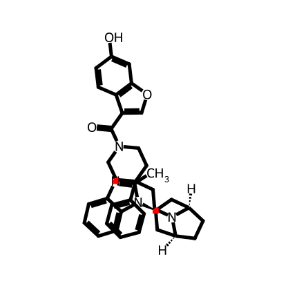 Cc1nc2ccccc2n1[C@H]1C[C@H]2CC[C@@H](C1)N2CCC1(c2ccccc2)CCN(C(=O)c2coc3cc(O)ccc23)CC1